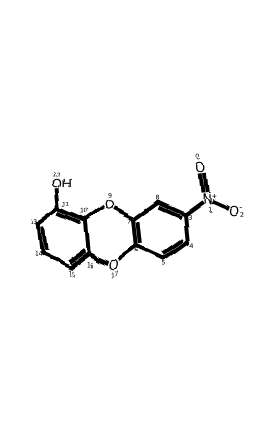 O=[N+]([O-])c1ccc2c(c1)Oc1c(O)cccc1O2